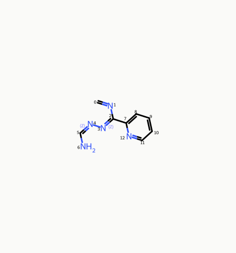 C=N/C(=N\N=C/N)c1ccccn1